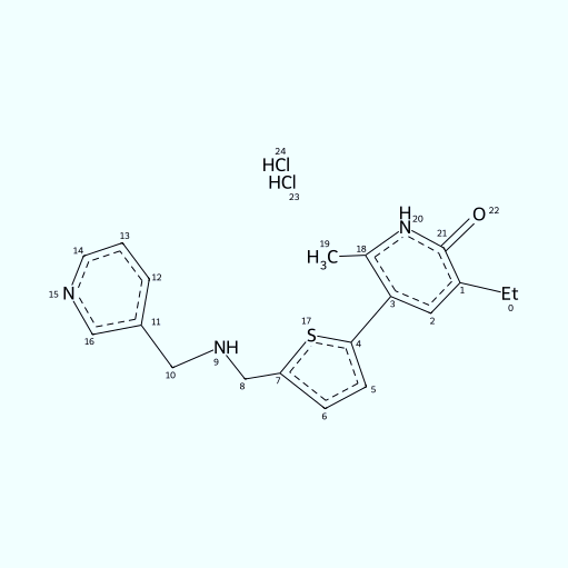 CCc1cc(-c2ccc(CNCc3cccnc3)s2)c(C)[nH]c1=O.Cl.Cl